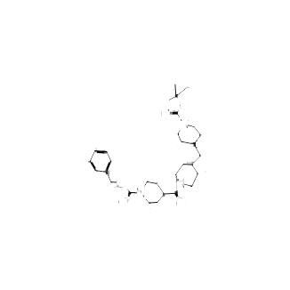 CC(C)(C)OC(=O)N1CCC(CC2CCN(C(=O)C3CCN(C(=O)OCc4ccccc4)CC3)CC2)CC1